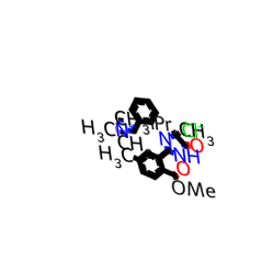 COC(=O)c1ccc(C)cc1C1=NC(C)(C(C)C)C(=O)N1.C[N+](C)(C)Cc1ccccc1.[Cl-]